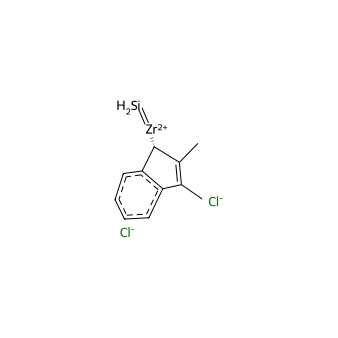 CC1=C(C)[C@@H]([Zr+2]=[SiH2])c2ccccc21.[Cl-].[Cl-]